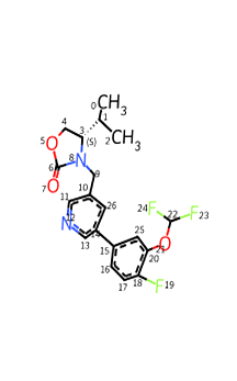 CC(C)[C@H]1COC(=O)N1Cc1cncc(-c2ccc(F)c(OC(F)F)c2)c1